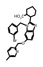 Cc1ccc(COc2ccc3nc(C4CCCCC4C(=O)O)n(Cc4cccc(Br)c4)c3c2)nc1